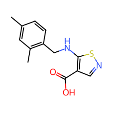 Cc1ccc(CNc2sncc2C(=O)O)c(C)c1